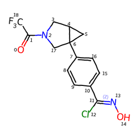 O=C(N1CC2CC2(c2ccc(/C(Cl)=N/O)cc2)C1)C(F)(F)F